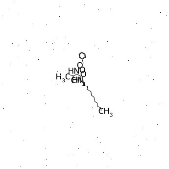 CCCCCCCCCCCCNC(=O)C(NC(=O)OCc1ccccc1)C(C)CC